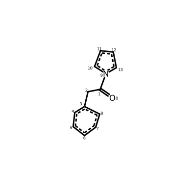 O=C(Cc1ccccc1)n1cccc1